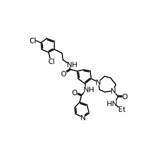 CCNC(=O)N1CCCN(c2ccc(C(=O)NCCc3ccc(Cl)cc3Cl)cc2NC(=O)c2ccncc2)CC1